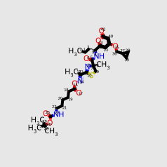 CCC[C@@H](NC(=O)[C@]1(C)CSC(/C(C)=N/OC(=O)CCCCCNC(=O)OC(C)(C)C)=N1)c1cc(OCC2CC2)cc(=O)o1